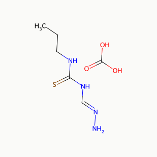 CCCNC(=S)NC=NN.O=C(O)O